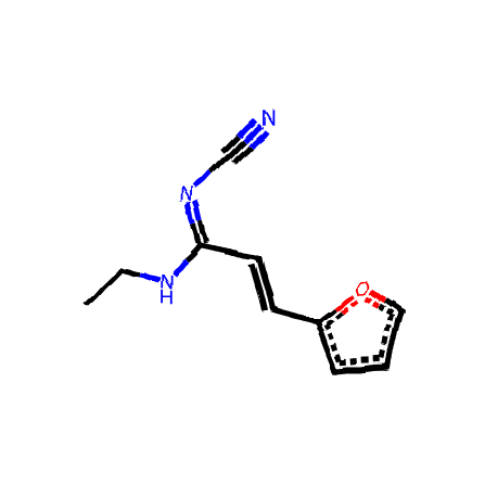 CCNC(/C=C/c1ccco1)=N/C#N